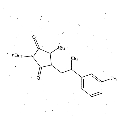 CCCCCCCCN1C(=O)C(CC(c2cccc(C)c2)C(C)(C)C)C(C(C)(C)C)C1=O